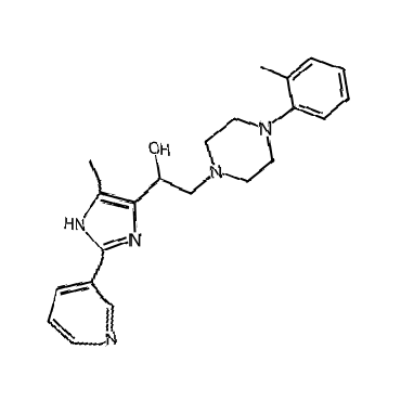 Cc1ccccc1N1CCN(CC(O)c2nc(-c3cccnc3)[nH]c2C)CC1